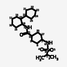 CC(C)S(=O)(=O)NC1CCC(C(=O)NC2CCCCC2C2CCCCC2)CC1